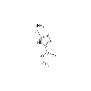 COC(=O)c1ccc(SN)[nH]1